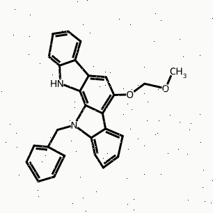 COCOc1cc2c3ccccc3[nH]c2c2c1c1ccccc1n2Cc1ccccc1